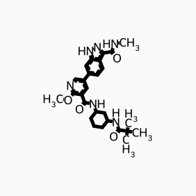 CNC(=O)c1n[nH]c2cc(-c3cnc(OC)c(C(=O)NC4CCCC(NC(=O)C(C)(C)C)C4)c3)ccc12